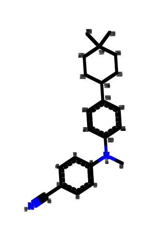 CN(c1ccc(C#N)cc1)c1ccc(C2CCC(C)(C)CC2)cc1